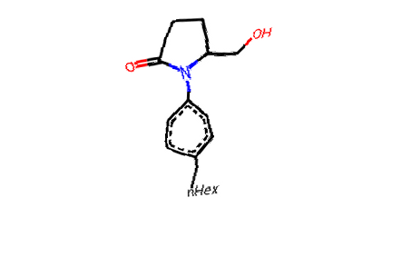 CCCCCCc1ccc(N2C(=O)CCC2CO)cc1